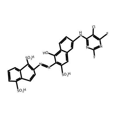 O=S(=O)(O)c1cc2cc(Nc3nc(F)nc(F)c3Cl)ccc2c(O)c1N=Nc1ccc2c(S(=O)(=O)O)cccc2c1S(=O)(=O)O